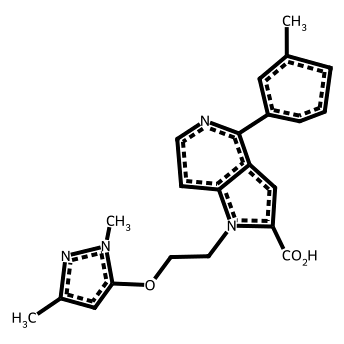 Cc1cccc(-c2nccc3c2cc(C(=O)O)n3CCOc2cc(C)nn2C)c1